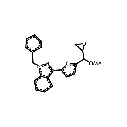 COC(c1ccc(-c2nn(Cc3ccccc3)c3ccccc23)o1)C1CO1